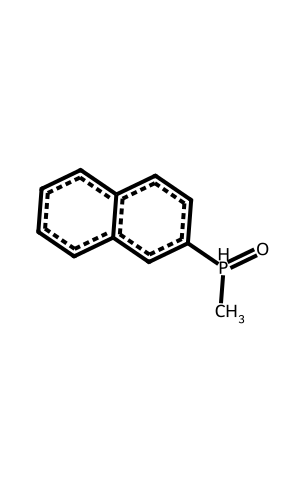 C[PH](=O)c1ccc2ccccc2c1